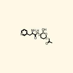 CC(=O)C[C@@H]1CC[C@H](NC(=O)C(N)Cc2cccnc2)B(O)O1